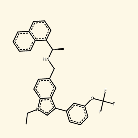 CCn1cc(-c2cccc(OC(F)(F)F)c2)c2cc(CN[C@H](C)c3cccc4ccccc34)ccc21